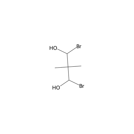 CC(C)(C(O)Br)C(O)Br